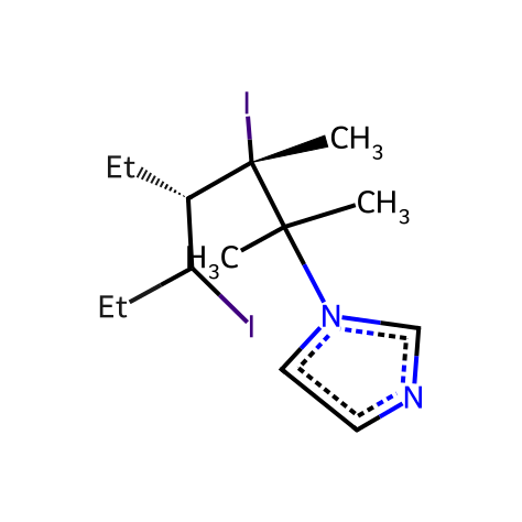 CCC(I)[C@H](CC)[C@](C)(I)C(C)(C)n1ccnc1